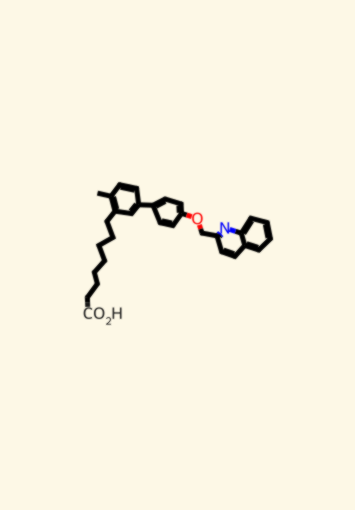 Cc1ccc(-c2ccc(OCc3ccc4ccccc4n3)cc2)cc1CCCCCCCC(=O)O